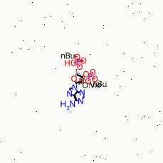 CCCCOP(=O)(O)OC[C@H]1O[C@@H](n2cnc3c(N)ncnc32)[C@H](OC)[C@@H]1OP(=O)(O)OCCCC